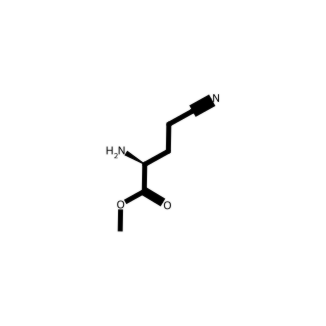 COC(=O)[C@@H](N)CCC#N